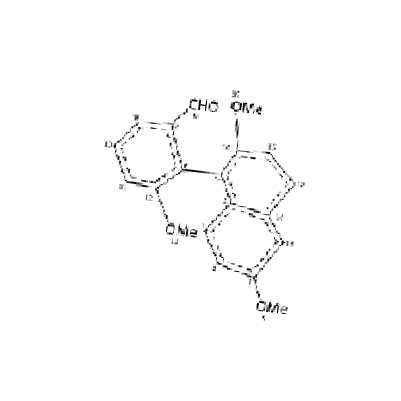 COc1ccc2c(-c3c(C=O)cccc3OC)c(OC)ccc2c1